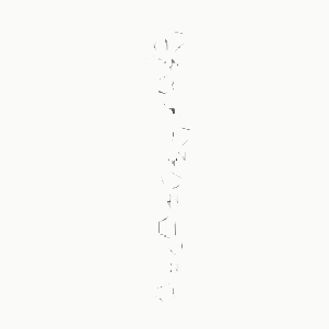 Cc1cc(N=Nc2cc(C)c(N=Nc3ccc4cc(NOc5ccccc5)ccc4c3O)cc2C)ccc1N=Nc1ccc(N=Nc2ccccc2S(=O)(=O)O)c(C)c1